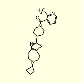 Cc1ncccc1C(=O)N1CCC(c2nc3c(s2)CCN(C2CCC2)CC3)CC1